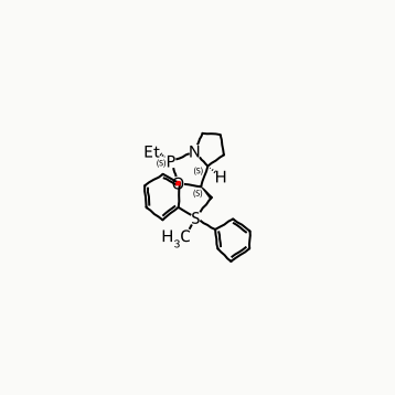 CC[P@@]1O[C@H](CS(C)(c2ccccc2)c2ccccc2)[C@@H]2CCCN21